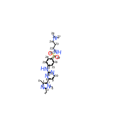 Cc1nc(C)n(C)c1-c1ccnc(Nc2ccc(S(=O)(=O)NCCCN(C)C)cc2)n1